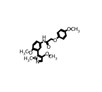 COc1ccc(OCC(=O)Nc2ccc(OC)c(-c3c(OC)cnn3C)c2)cc1